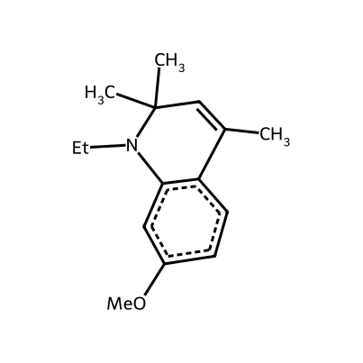 CCN1c2cc(OC)ccc2C(C)=CC1(C)C